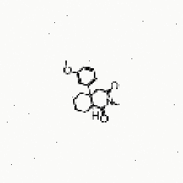 COc1cccc([C@]23CCCC[C@@H]2C(=O)N(C)C(=O)C3)c1